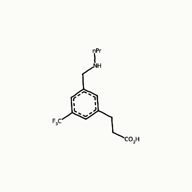 CCCNCc1cc(CCC(=O)O)cc(C(F)(F)F)c1